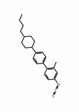 CCCCC1CCC(c2ccc(-c3ccc(N=C=S)cc3C)cc2)CC1